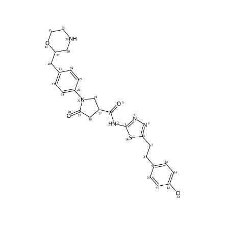 O=C(Nc1nnc(CCc2ccc(Cl)cc2)s1)C1CC(=O)N(c2ccc(CC3CNCCO3)cc2)C1